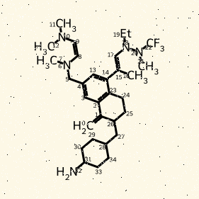 C=C1c2cc(CN(C)/C=C\N(C)C)cc(/C(C)=C/N(CC)N(C)C(F)(F)F)c2CCC1CC1CCC(N)CC1